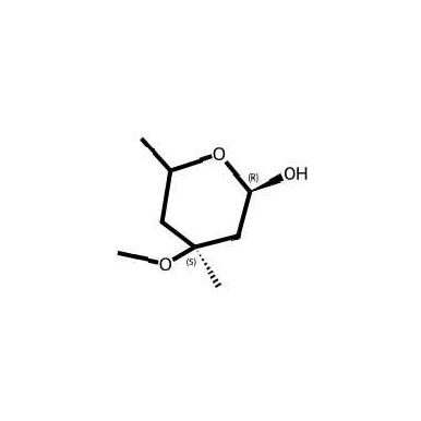 CO[C@@]1(C)CC(C)O[C@@H](O)C1